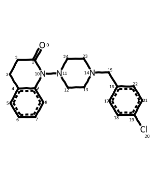 O=C1CCc2ccccc2N1N1CCN(Cc2ccc(Cl)cc2)CC1